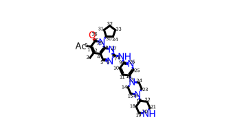 CC(=O)c1c(C)c2cnc(Nc3ccc(N4CCN(C5CCNCC5)CC4)cn3)nc2n(C2CCCC2)c1=O